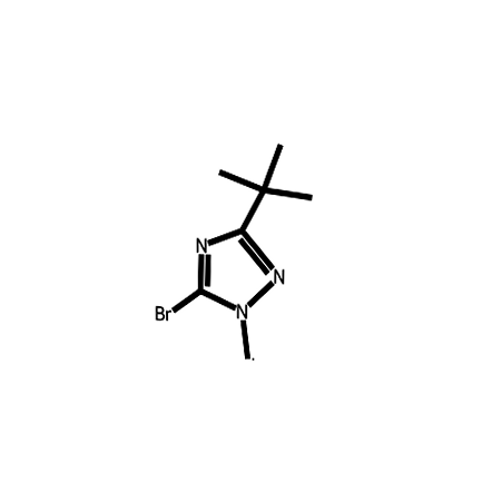 [CH2]n1nc(C(C)(C)C)nc1Br